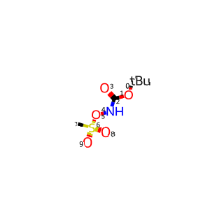 CC(C)(C)OC(=O)NOS(C)(=O)=O